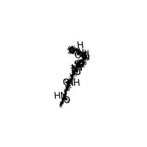 CCCCC(=O)NCCCCCC(=O)NCCCCCC(=O)N(C)c1nc2ccc(-c3cnc(C)c(NC(=O)Cc4ccccc4)c3)cc2s1